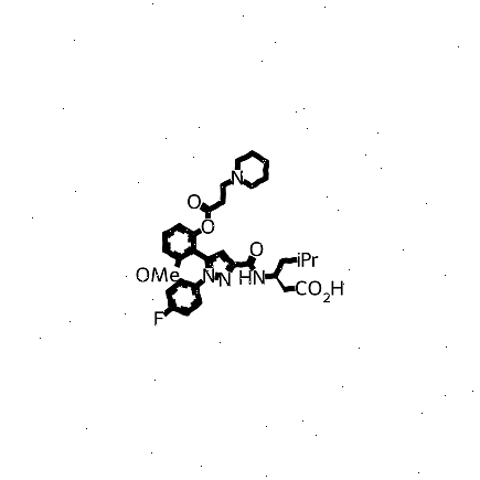 COc1cccc(OC(=O)CCN2CCCCC2)c1-c1cc(C(=O)N[C@H](CC(=O)O)CC(C)C)nn1-c1ccc(F)cc1